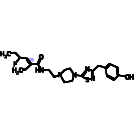 C=C/C(=C\C(F)CC)C(=O)NCCN1CCN(c2nc(Cc3ccc(O)cc3)ns2)CC1